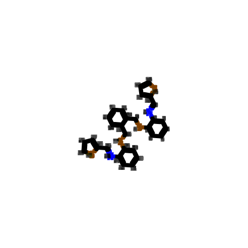 C(=N\c1ccccc1SCc1ccccc1CSc1ccccc1/N=C/c1cccs1)/c1cccs1